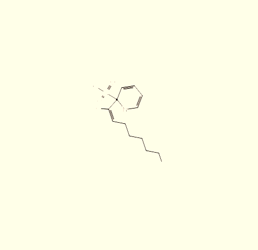 CCCCCC/C=C(/C)C1(S(C)(=O)=O)C=CC=CN1